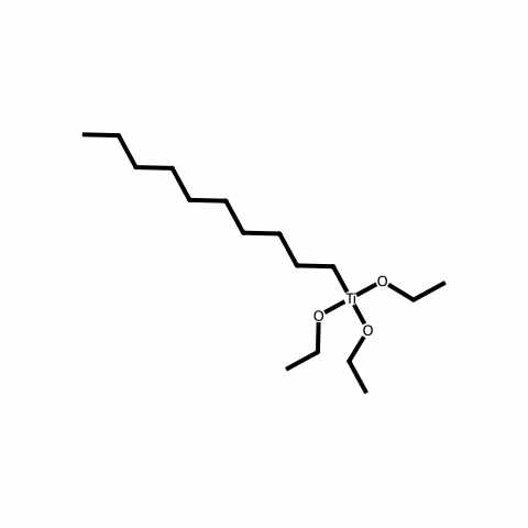 CCCCCCCCC[CH2][Ti]([O]CC)([O]CC)[O]CC